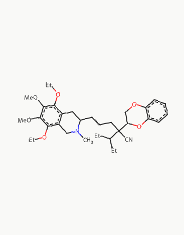 CCOc1c2c(c(OCC)c(OC)c1OC)CN(C)C(CCCC(C#N)(C(CC)CC)C1COc3ccccc3O1)C2